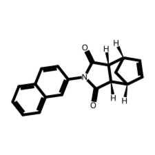 O=C1[C@@H]2[C@H](C(=O)N1c1ccc3ccccc3c1)[C@@H]1C=C[C@H]2C1